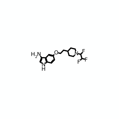 Nc1c[nH]c2ccc(OCCC3CCN(C(F)C(F)F)CC3)cc12